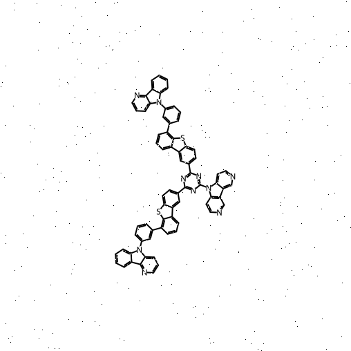 c1cc(-c2cccc3c2sc2ccc(-c4nc(-c5ccc6sc7c(-c8cccc(-n9c%10ccccc%10c%10ncccc%109)c8)cccc7c6c5)nc(-n5c6ccncc6c6cnccc65)n4)cc23)cc(-n2c3ccccc3c3ncccc32)c1